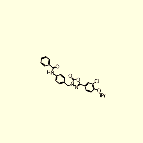 CC(C)Oc1ccc(-c2nn(Cc3ccc(NC(=O)c4ccccc4)cc3)c(=O)o2)cc1Cl